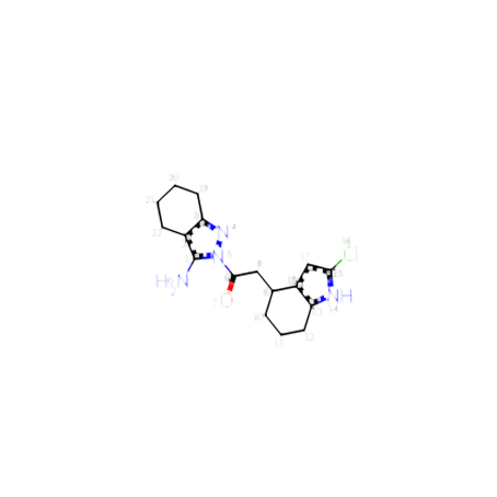 Nc1c2c(nn1C(=O)CC1CCCc3[nH]c(Cl)cc31)CCCC2